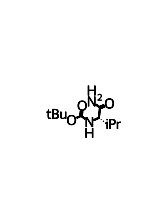 CC(C)[C@H](NC(=O)OC(C)(C)C)C(N)=O